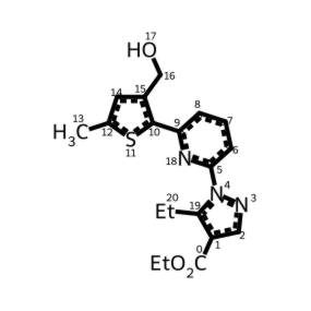 CCOC(=O)c1cnn(-c2cccc(-c3sc(C)cc3CO)n2)c1CC